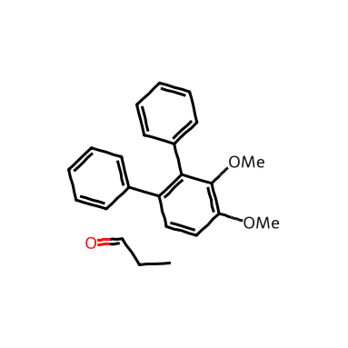 CCC=O.COc1ccc(-c2ccccc2)c(-c2ccccc2)c1OC